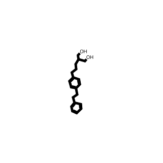 OCC(CO)CCCc1ccc(CCc2ccccc2)cc1